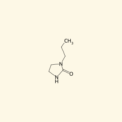 CCCN1CCNC1=O